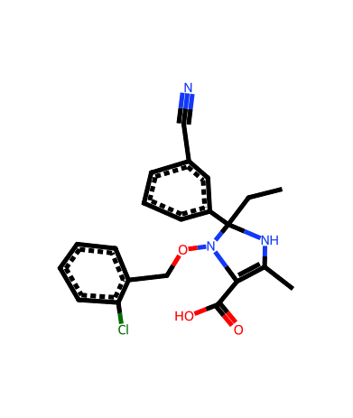 CCC1(c2cccc(C#N)c2)NC(C)=C(C(=O)O)N1OCc1ccccc1Cl